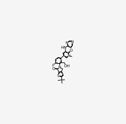 Cn1cc(-c2ccc(F)c(N3Cc4cc(C(C)(C)C)sc4C3=O)c2CO)cc(Nc2ccncn2)c1=O